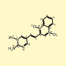 CC(C)N1C=C(C=Cc2c[n+]([O-])c3ccccc3[n+]2[O-])C=NC1N